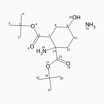 CC(C)(C)OC(=O)C1CC(O)CCC1(N)C(=O)OC(C)(C)C.N